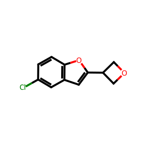 Clc1ccc2oc(C3COC3)cc2c1